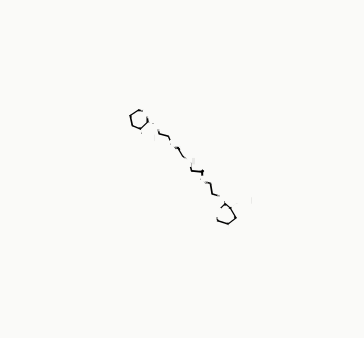 C[C@@H]1O[C@@H](OCCNC(=O)CNCC(=O)NCCO[C@@H]2O[C@@H](C)[C@@H](O)C[C@@H]2O)[C@@H](O)C[C@@H]1O